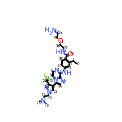 CCc1cc(Nc2nccn3c(-c4cn(CCN(C)C)nc4C(F)(F)F)cnc23)ccc1C(=O)NCCOCCN